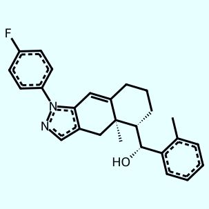 Cc1ccccc1[C@H](O)[C@H]1CCCC2=Cc3c(cnn3-c3ccc(F)cc3)C[C@@]21C